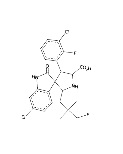 CC(C)(CF)CC1NC(C(=O)O)C(c2cccc(Cl)c2F)C12C(=O)Nc1cc(Cl)ccc12